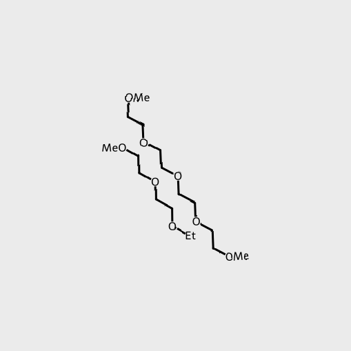 CCOCCOCCOC.COCCOCCOCCOCCOC